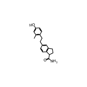 Cc1cc(O)ccc1CCc1ccc2c(c1)CCC2C(N)=O